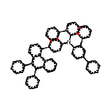 c1ccc(-c2ccc(N(c3ccc(-c4cccc5c(-c6ccccc6)c(-c6ccccc6)c6ccccc6c45)cc3)c3ccccc3-c3ccccc3)c(-c3ccccc3)c2)cc1